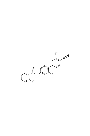 N#Cc1ccc(-c2ccc(OC(=O)c3ccccc3F)cc2F)cc1F